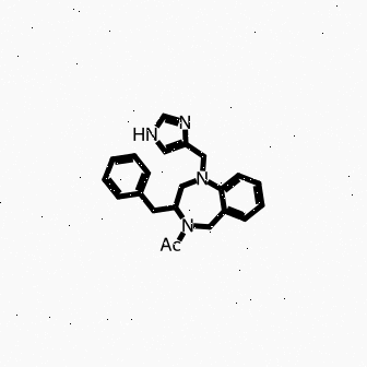 CC(=O)N1Cc2ccccc2N(Cc2c[nH]cn2)CC1Cc1ccccc1